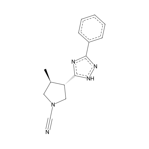 C[C@@H]1CN(C#N)C[C@H]1c1nc(-c2ccccc2)n[nH]1